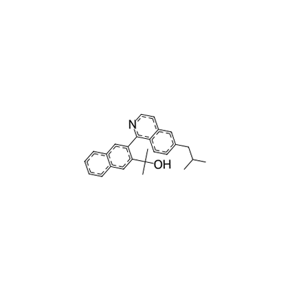 CC(C)Cc1ccc2c(-c3cc4ccccc4cc3C(C)(C)O)nccc2c1